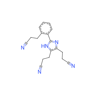 N#CCCc1ccccc1-c1nc(CCC#N)c(CCC#N)[nH]1